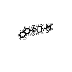 O=S(=O)(c1ccc2ccccc2c1)N1CCN(c2nccs2)CC1